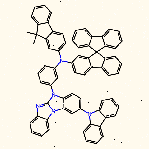 CC1(C)c2ccccc2-c2ccc(N(c3cccc(-n4c5ccc(-n6c7ccccc7c7ccccc76)cc5n5c6ccccc6nc45)c3)c3ccc4c(c3)C3(c5ccccc5-c5ccccc53)c3ccccc3-4)cc21